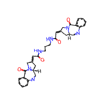 O=C(/C=C1\C[C@H]2C=Nc3ccccc3C(=O)N2C1)NCCCNC(=O)/C=C1\C[C@@H]2C=Nc3ccccc3C(=O)N2C1